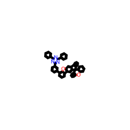 c1ccc(-c2nc(-c3ccccc3)nc(-c3cccc(-c4cccc5c4oc4cc6c(cc45)C4(c5ccccc5Oc5ccccc54)c4ccccc4-6)c3)n2)cc1